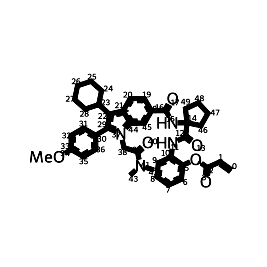 C=CC(=O)Oc1ccccc1NC(=O)C1(NC(=O)c2ccc3c(C4CCCCC4)c(-c4ccc(OC)cc4)n(CC(=O)N(C)C)c3c2)CCCC1